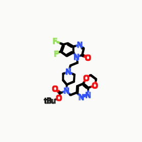 CC(C)(C)OC(=O)N(Cc1cc2c(nn1)OCCO2)C1CCN(CCn2c(=O)cnc3cc(F)c(F)cc32)CC1